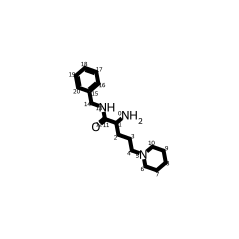 NC(CCCN1CCCCC1)C(=O)NCc1ccccc1